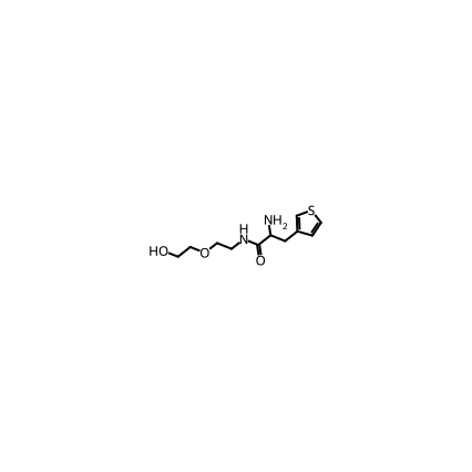 NC(Cc1ccsc1)C(=O)NCCOCCO